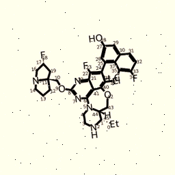 CC[C@@H]1NCCN2c3nc(OC[C@@]45CCCN4C[C@H](F)C5)nc4c(F)c(-c5cc(O)cc6ccc(F)c(C)c56)c(Cl)c(c34)OC[C@H]12